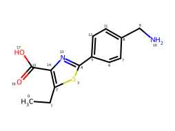 CCc1sc(-c2ccc(CN)cc2)nc1C(=O)O